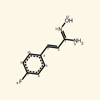 NC(C=Cc1ccc(F)cc1)=NO